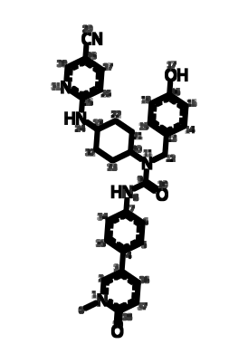 Cn1cc(-c2ccc(NC(=O)N(Cc3ccc(O)cc3)C3CCC(Nc4ccc(C#N)cn4)CC3)cc2)ccc1=O